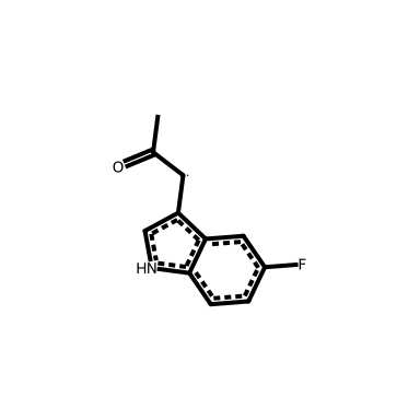 CC(=O)[CH]c1c[nH]c2ccc(F)cc12